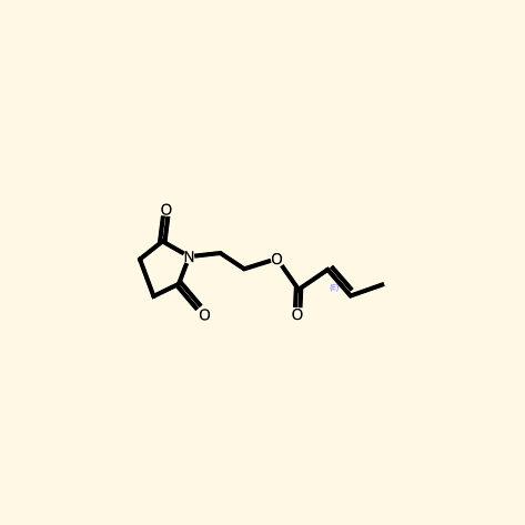 C/C=C/C(=O)OCCN1C(=O)CCC1=O